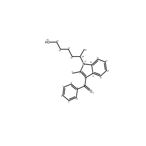 Cc1c(C(=O)c2ccccc2)c2ccccc2n1C(C)CCCCO